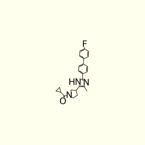 Cc1nc(-c2ccc(-c3ccc(F)cc3)cc2)[nH]c1C1CCN(C(=O)C2CC2)C1